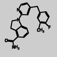 Cc1cc(Cc2ccnc(N3CCc4c(C(N)=O)cccc43)c2)ccc1F